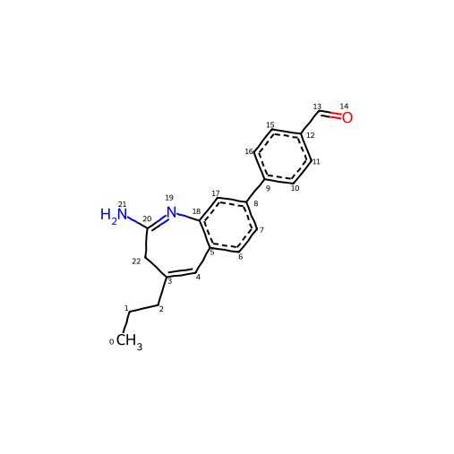 CCCC1=Cc2ccc(-c3ccc(C=O)cc3)cc2N=C(N)C1